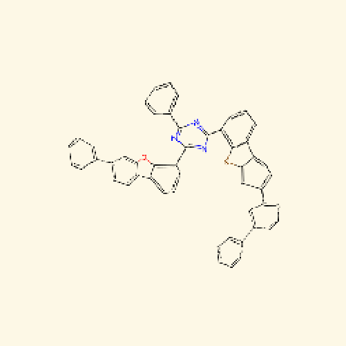 c1ccc(-c2cccc(-c3ccc4c(c3)sc3c(-c5nc(-c6ccccc6)nc(-c6cccc7c6oc6cc(-c8ccccc8)ccc67)n5)cccc34)c2)cc1